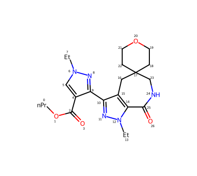 CCCOC(=O)c1cn(CC)nc1-c1nn(CC)c2c1CC1(CCOCC1)CNC2=O